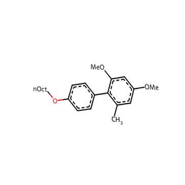 CCCCCCCCOc1ccc(-c2c(C)cc(OC)cc2OC)cc1